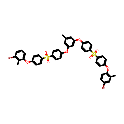 Cc1cc(Oc2ccc(S(=O)(=O)c3ccc(Oc4ccc(Br)cc4C)cc3)cc2)cc(Oc2ccc(S(=O)(=O)c3ccc(Oc4cccc(Br)c4C)cc3)cc2)c1